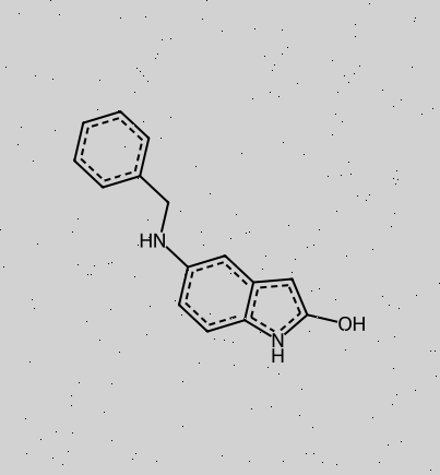 Oc1cc2cc(NCc3ccccc3)ccc2[nH]1